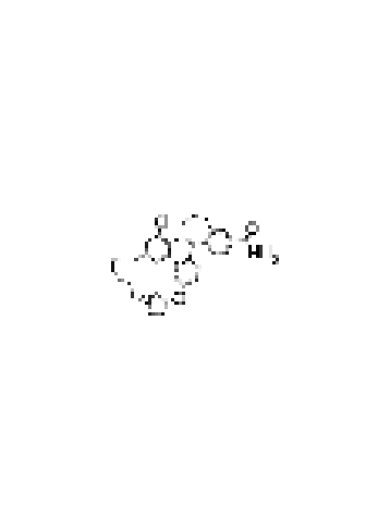 CC1C=CC(C2=C(c3ccc(O[C@H]4CCN(CCCF)C4)cc3)c3ccc(C(N)=O)cc3CCC2)=C(Cl)C1